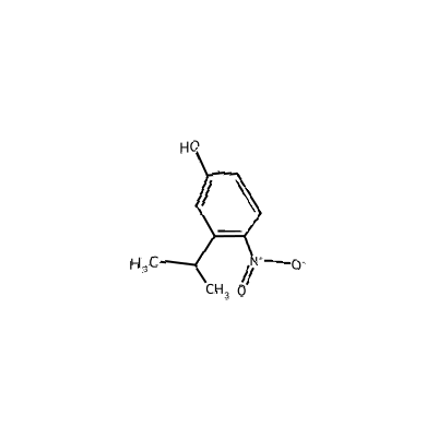 CC(C)c1cc(O)ccc1[N+](=O)[O-]